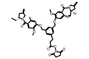 C=C1C[C@@H](CC)N(C(=O)c2cc(OC)c(OCc3cc(CCC(=O)ON4C(=O)CCC4=O)cc(COc4cc5c(cc4OC)C(=O)N4CC(=C)C[C@H]4C=N5)c3)cc2C)C1